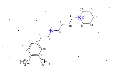 Cc1ccc(CC[N]CCCCN2CCCCC2)cc1C